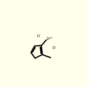 CC1=[C]([Zr+2])C=CC1.[Cl-].[Cl-]